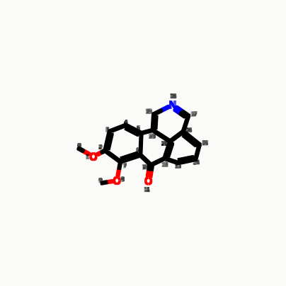 COc1ccc2c(c1OC)C(=O)c1cccc3cncc-2c13